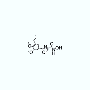 CCCc1cc(C2=N[C@H](C(=O)NO)CO2)cc(OC)c1OC